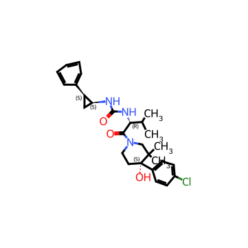 CC(C)[C@@H](NC(=O)N[C@H]1C[C@H]1c1ccccc1)C(=O)N1CC[C@](O)(c2ccc(Cl)cc2)C(C)(C)C1